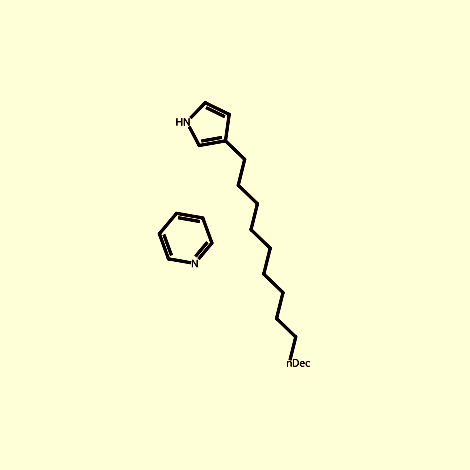 CCCCCCCCCCCCCCCCCCCc1cc[nH]c1.c1ccncc1